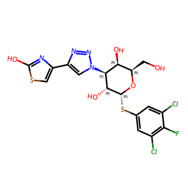 OC[C@H]1O[C@H](Sc2cc(Cl)c(F)c(Cl)c2)[C@H](O)[C@@H](n2cc(-c3csc(O)n3)nn2)[C@H]1O